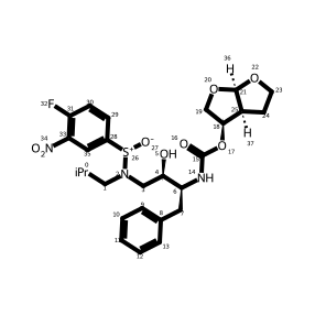 CC(C)CN(C[C@@H](O)[C@H](Cc1ccccc1)NC(=O)O[C@H]1CO[C@H]2OCC[C@H]21)[S+]([O-])c1ccc(F)c([N+](=O)[O-])c1